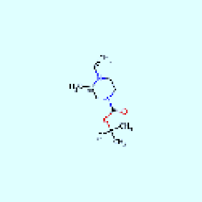 C=CN1CCN(C(=O)OC(C)(C)C)C[C@H]1C